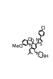 COc1ccc(Cl)c(-n2c(C=C(C)C)c(CN3CCNCC3)cc(-c3nc(-c4ccc(Cl)cc4)cs3)c2=O)c1